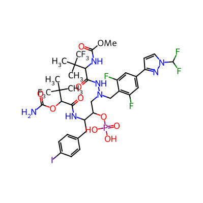 COC(=O)NC(C(=O)NN(Cc1c(F)cc(-c2ccn(C(F)F)n2)cc1F)CC(OP(=O)(O)O)C(Cc1ccc(I)cc1)NC(=O)C(OC(N)=O)C(C)(C)C(F)(F)F)C(C)(C)C(F)(F)F